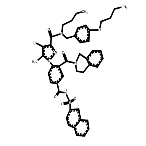 CCCCOc1ccc(CN(CCCC)C(=O)c2nn(-c3ccc(C(=O)NS(=O)(=O)c4ccc5ccccc5c4)cc3C(=O)N3CCc4ccccc4C3)c(C)c2Cl)cc1